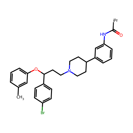 Cc1cccc(OC(CCN2CCC(c3cccc(NC(=O)C(C)C)c3)CC2)c2ccc(Br)cc2)c1